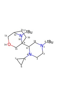 CC(C)(C)N1CCN(C2CC2)C(C23CCC(COC2)N3C(C)(C)C)C1